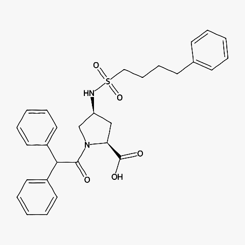 O=C(O)[C@@H]1C[C@H](NS(=O)(=O)CCCCc2ccccc2)CN1C(=O)C(c1ccccc1)c1ccccc1